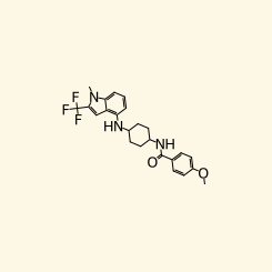 COc1ccc(C(=O)NC2CCC(Nc3cccc4c3cc(C(F)(F)F)n4C)CC2)cc1